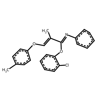 CC(=C\Oc1ccc(C)cc1)/C(=N/c1ccccc1)Oc1ccccc1Cl